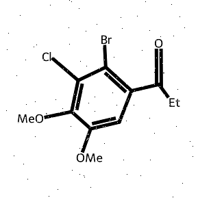 CCC(=O)c1cc(OC)c(OC)c(Cl)c1Br